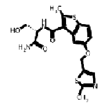 Cc1ncc(COc2ccc3sc(C)c(C(=O)N[C@@H](CO)C(N)=O)c3c2)s1